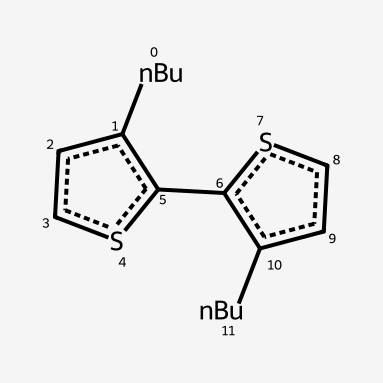 CCCCc1ccsc1-c1sccc1CCCC